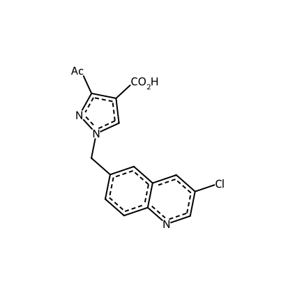 CC(=O)c1nn(Cc2ccc3ncc(Cl)cc3c2)cc1C(=O)O